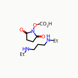 CCNCCCNCC.O=C(O)ON1C(=O)CCC1=O